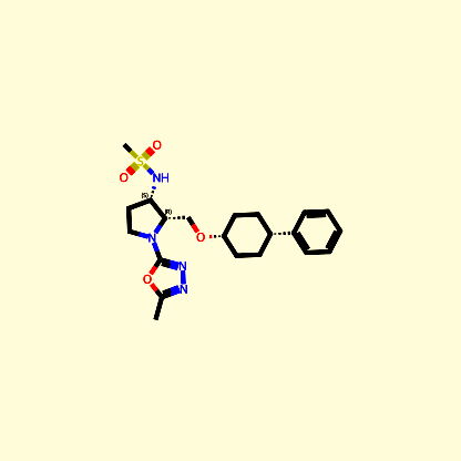 Cc1nnc(N2CC[C@H](NS(C)(=O)=O)[C@@H]2CO[C@H]2CC[C@@H](c3ccccc3)CC2)o1